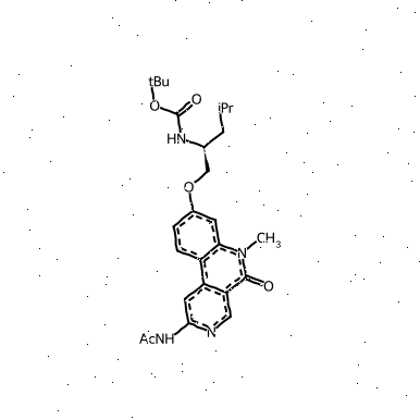 CC(=O)Nc1cc2c(cn1)c(=O)n(C)c1cc(OC[C@H](CC(C)C)NC(=O)OC(C)(C)C)ccc21